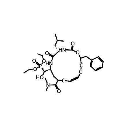 CCOP(=O)(OCC)C(O)[C@@H]1CC(C(=O)N(C)C)CC=CCCC(Cc2ccccc2)OC(=O)N[C@@H](CC(C)C)C(=O)N1